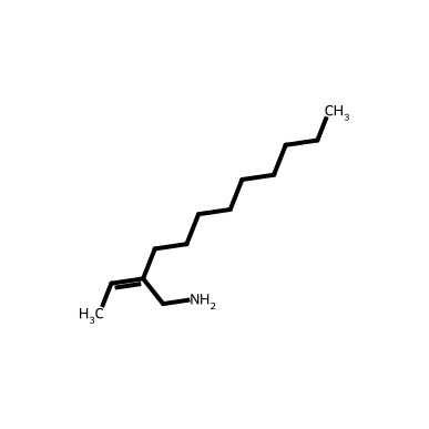 CC=C(CN)CCCCCCCCC